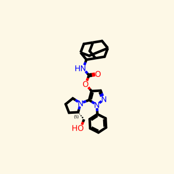 O=C(NC1C2CC3CC(C2)CC1C3)Oc1cnn(-c2ccccc2)c1N1CCC[C@H]1CO